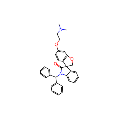 CN(C)CCOc1ccc2c(c1)OCC21C(=O)N(C(c2ccccc2)c2ccccc2)c2ccccc21